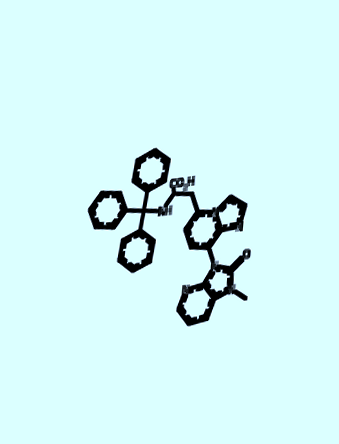 Cn1c(=O)n(-c2ccc(CC(NC(c3ccccc3)(c3ccccc3)c3ccccc3)C(=O)O)n3ccnc23)c2ncccc21